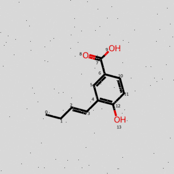 CCC=Cc1cc(C(=O)O)ccc1O